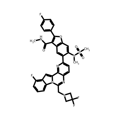 CNC(=O)c1c(-c2ccc(F)cc2)oc2cc(N(C)S(C)(=O)=O)c(-c3ccc4nc(CN5CC(F)(F)C5)n5c6cccc(F)c6cc5c4n3)cc12